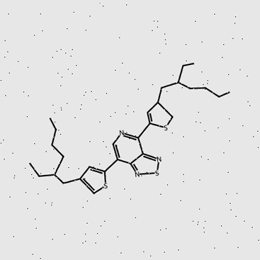 CCCCC(CC)Cc1csc(-c2cnc(C3=CC(CC(CC)CCCC)CS3)c3nsnc23)c1